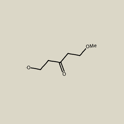 COCCC(=O)CC[O]